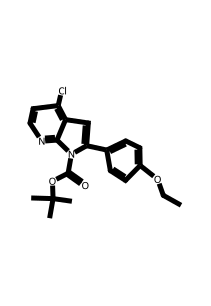 CCOc1ccc(-c2cc3c(Cl)ccnc3n2C(=O)OC(C)(C)C)cc1